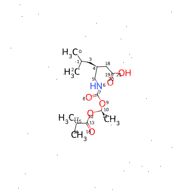 CC(C)C[C@H](CNC(=O)O[C@@H](C)OC(=O)C(C)C)CC(=O)O